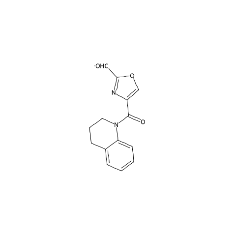 O=[C]c1nc(C(=O)N2CCCc3ccccc32)co1